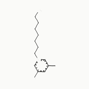 CCCCCCCCCCCCCCCC[n+]1cc(C)cc(C)c1